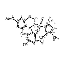 COc1cc2c(c(OC)c1)C(c1cc(Cl)cc(Cl)c1)N(S(=O)(=O)c1c(C)nn(C)c1Cl)CC2